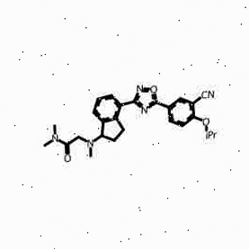 CC(C)Oc1ccc(-c2nc(-c3cccc4c3CCC4N(C)CC(=O)N(C)C)no2)cc1C#N